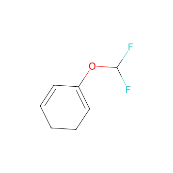 FC(F)OC1=CCCC=C1